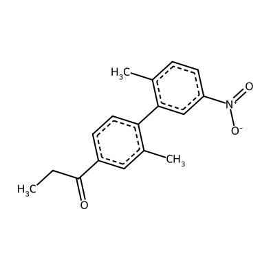 CCC(=O)c1ccc(-c2cc([N+](=O)[O-])ccc2C)c(C)c1